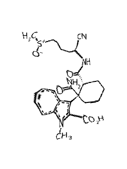 Cn1c(C(=O)O)c([C@]2(C(N)=O)CCCC[C@H]2C(=O)N[C@H](C#N)CC[S+](C)[O-])c2ccccc21